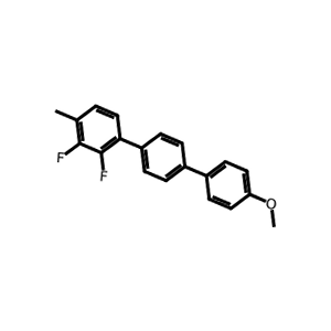 COc1ccc(-c2ccc(-c3ccc(C)c(F)c3F)cc2)cc1